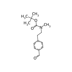 CN(CCc1ccc(C=O)cc1)C(=O)OC(C)(C)C